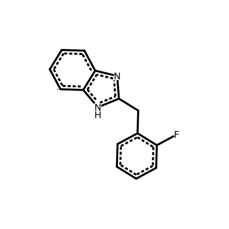 Fc1ccccc1Cc1nc2ccc[c]c2[nH]1